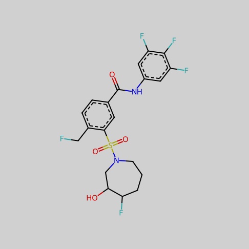 O=C(Nc1cc(F)c(F)c(F)c1)c1ccc(CF)c(S(=O)(=O)N2CCCC(F)C(O)C2)c1